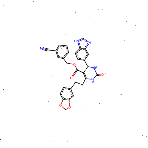 N#Cc1cccc(COC(=O)C2=C(CCc3ccc4c(c3)OCO4)NC(=O)NC2c2ccc3[nH]cnc3c2)c1